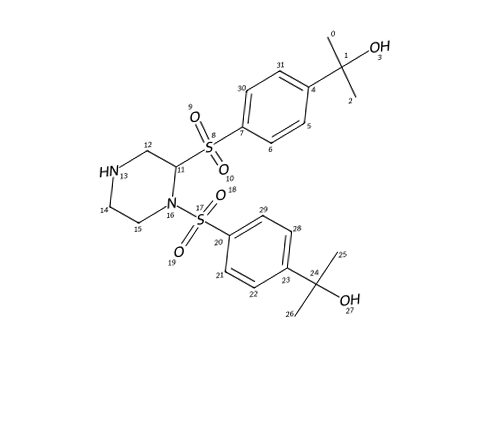 CC(C)(O)c1ccc(S(=O)(=O)C2CNCCN2S(=O)(=O)c2ccc(C(C)(C)O)cc2)cc1